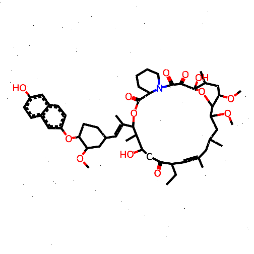 CCC1/C=C(\C)CC(C)CC(OC)C2OC(O)(C(=O)C(=O)N3CCCCC3C(=O)OC(C(C)=CC3CCC(Oc4ccc5cc(O)ccc5c4)C(OC)C3)C(C)C(O)CC1=O)C(C)CC2OC